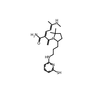 C=C(/C(=C\C=C(/C)NC)C(N)=O)N1C(CCCNc2cccc(S)n2)CCC1(C)C